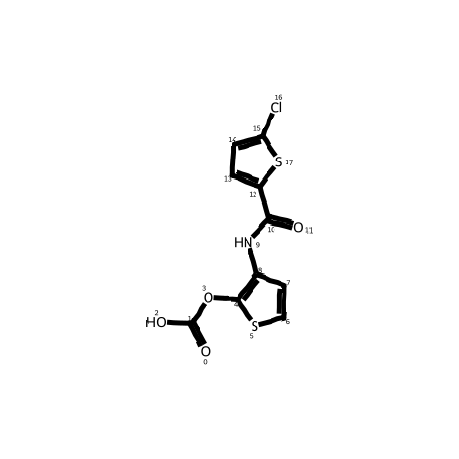 O=C(O)Oc1sccc1NC(=O)c1ccc(Cl)s1